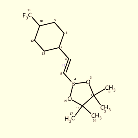 CC1(C)OB(/C=C/C2CCC(C(F)(F)F)CC2)OC1(C)C